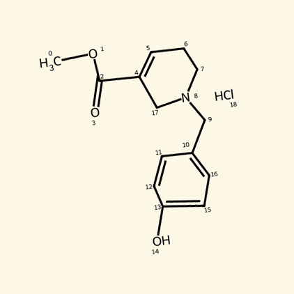 COC(=O)C1=CCCN(Cc2ccc(O)cc2)C1.Cl